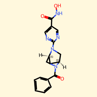 O=C(NO)c1cnc(N2C[C@@H]3C[C@H]2CN3C(=O)c2ccccc2)nc1